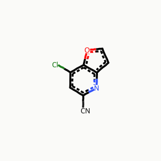 N#Cc1cc(Cl)c2occc2n1